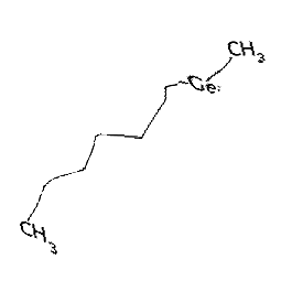 CCCCC[CH2][Ge][CH3]